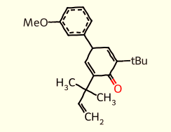 C=CC(C)(C)C1=CC(c2cccc(OC)c2)C=C(C(C)(C)C)C1=O